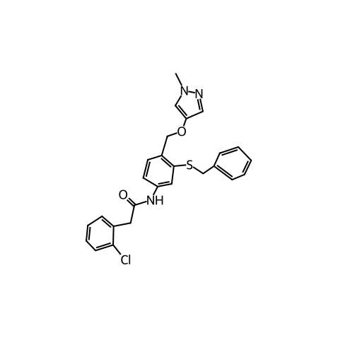 Cn1cc(OCc2ccc(NC(=O)Cc3ccccc3Cl)cc2SCc2ccccc2)cn1